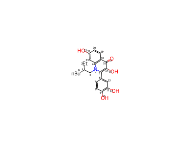 CCCCC(CC)Cn1c(-c2ccc(O)c(O)c2)c(O)c(=O)c2ccc(O)cc21